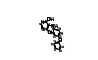 Oc1ncnc(O)c1Nc1ccc(Oc2ccccc2)cc1